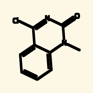 Cn1c(=O)nc(Cl)c2ccccc21